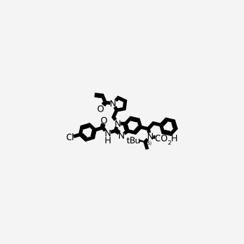 C=CC(=O)N1CCCC1Cn1c(NC(=O)c2ccc(Cl)cc2)nc2cc(C(Cc3ccccc3)N(C(=O)O)[C@@H](C)C(C)(C)C)ccc21